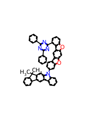 CC1(C)c2ccccc2-c2cc3c4ccccc4n(-c4ccc5c(c4)oc4cc6oc7cccc(-c8nc(-c9ccccc9)nc(-c9ccccc9)n8)c7c6cc45)c3cc21